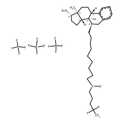 CC(=O)O[C@H]1CC[C@H]2[C@@H]3[C@H](CCCCCCCCC[S+]([O-])CCCC(F)(F)C(F)(F)F)Cc4ccccc4[C@H]3CC[C@]12C.F[B-](F)(F)F.F[B-](F)(F)F.F[B-](F)(F)F